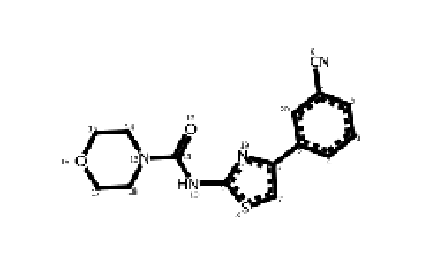 N#Cc1cccc(-c2csc(NC(=O)N3CCOCC3)n2)c1